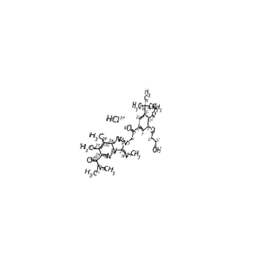 CN=c1n(CC(=O)c2cc(OCCO)c(OC)c(C(C)(C)C)c2)nc2c(C)c(C)c(C(=O)N(C)C)nn12.Cl